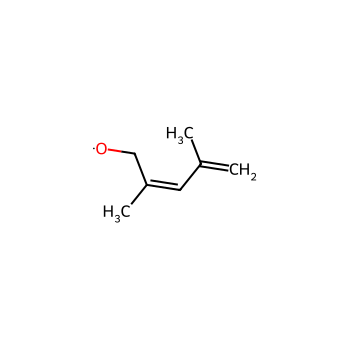 C=C(C)C=C(C)C[O]